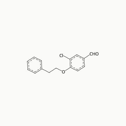 O=Cc1ccc(OCCc2ccccc2)c(Cl)c1